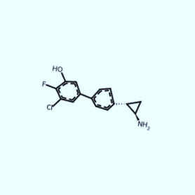 N[C@@H]1C[C@H]1c1ccc(-c2cc(O)c(F)c(Cl)c2)cc1